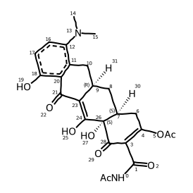 CC(=O)NC(=O)C1=C(OC(C)=O)C[C@@H]2C[C@@H]3Cc4c(N(C)C)ccc(O)c4C(=O)C3=C(O)[C@]2(O)C1=O